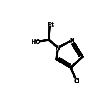 CCC(O)n1cc(Cl)cn1